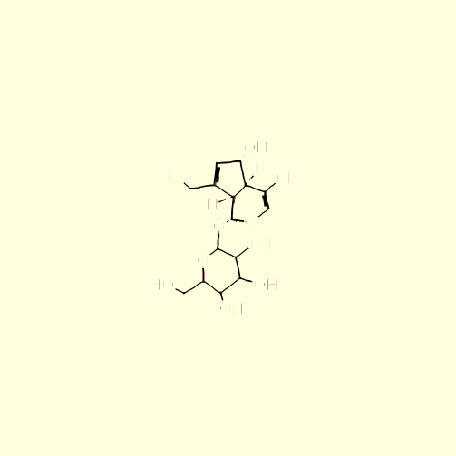 CC1=CO[C@@H](OC2OC(CO)C(O)C(O)C2C)[C@@H]2C(CO)=C[C@H](O)[C@H]12